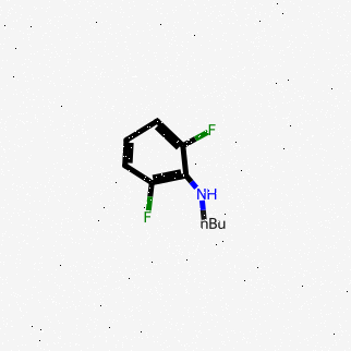 CCCCNc1c(F)cccc1F